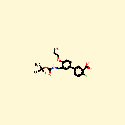 CCCOc1ccc(-c2ccc(F)c(C(=O)O)c2)cc1CNC(=O)OC(C)(C)C